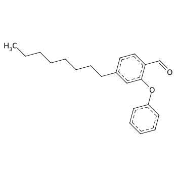 CCCCCCCCc1ccc([C]=O)c(Oc2ccccc2)c1